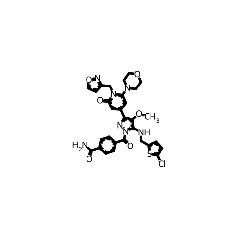 COc1c(-c2cc(N3CCOCC3)n(Cc3ccon3)c(=O)c2)nn(C(=O)c2ccc(C(N)=O)cc2)c1NCc1ccc(Cl)s1